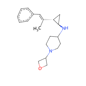 C/C(=C\c1ccccc1)[C@@H]1C[C@H]1NC1CCN(C2COC2)CC1